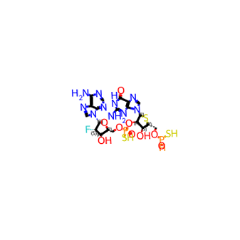 Nc1nc2c(ncn2[C@@H]2S[C@H](CO[PH](=O)S)[C@@H](O)[C@H]2OP(=O)(S)OC[C@H]2O[C@@H](n3cnc4c(N)ncnc43)[C@@H](F)[C@@H]2O)c(=O)[nH]1